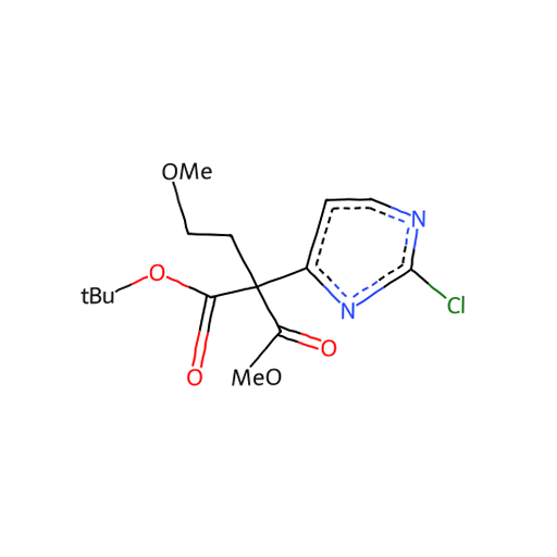 COCCC(C(=O)OC)(C(=O)OC(C)(C)C)c1ccnc(Cl)n1